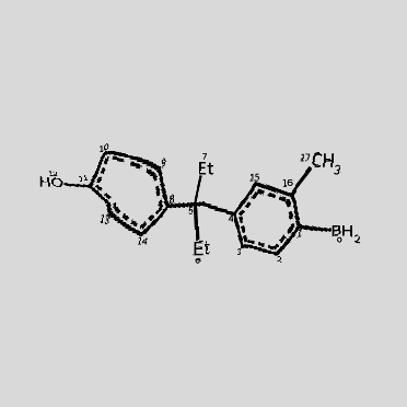 Bc1ccc(C(CC)(CC)c2ccc(O)cc2)cc1C